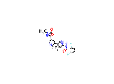 Cn1nc(-c2cnc(C(F)(F)F)c(-c3ccc(NC(=O)c4c(F)cccc4F)nc3)c2)oc1=O